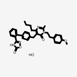 CCCCc1nc(C)n(CCc2ccc(OC)cc2)c(=O)c1Cc1ccc(-c2ccccc2-c2noc(=O)[nH]2)cc1.Cl